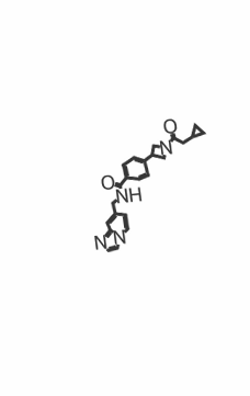 O=C(NCc1ccn2ccnc2c1)c1ccc(C2CN(C(=O)CC3CC3)C2)cc1